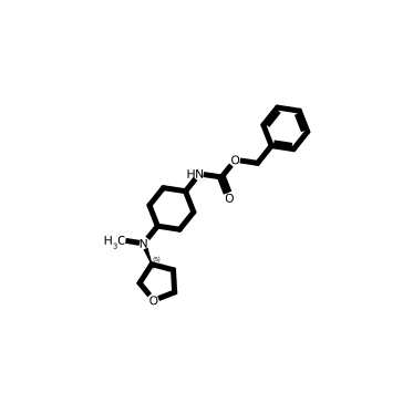 CN(C1CCC(NC(=O)OCc2ccccc2)CC1)[C@H]1CCOC1